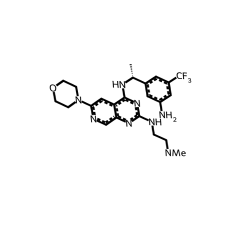 CNCCNc1nc(N[C@H](C)c2cc(N)cc(C(F)(F)F)c2)c2cc(N3CCOCC3)ncc2n1